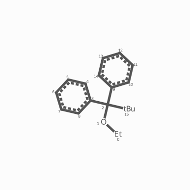 CCOC(c1ccccc1)(c1ccccc1)C(C)(C)C